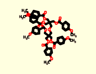 COc1ccc(C(=O)OCC(COCC(COC(=O)c2ccc(OC)cc2)(COC(=O)c2ccc(OC)cc2)COC(=O)c2ccc(OC)cc2)(COC(=O)c2ccc(OC)cc2)COC(=O)c2ccc(OC)cc2)cc1